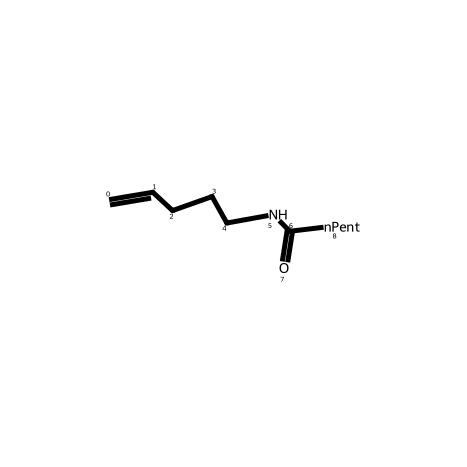 C=CCCCNC(=O)CCCCC